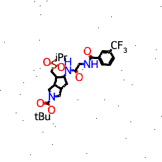 CC(C)S(=O)(=O)CC1C(NC(=O)CNC(=O)c2cccc(C(F)(F)F)c2)CC2CN(C(=O)OC(C)(C)C)CC21